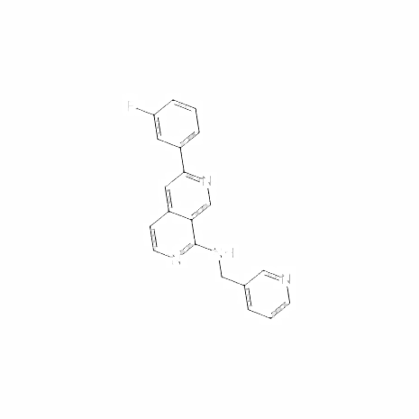 Fc1cccc(-c2cc3ccnc(NCc4cccnc4)c3cn2)c1